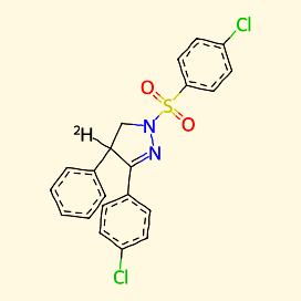 [2H]C1(c2ccccc2)CN(S(=O)(=O)c2ccc(Cl)cc2)N=C1c1ccc(Cl)cc1